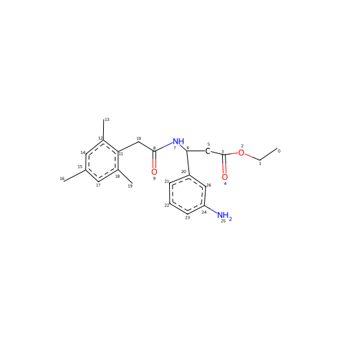 CCOC(=O)CC(NC(=O)Cc1c(C)cc(C)cc1C)c1cccc(N)c1